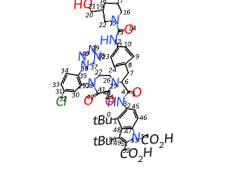 CC(C)(C)c1c(NC(=O)C(Cc2ccc(NC(=O)N3CCCC(CO)C3)cc2)N2CCN(c3cc(Cl)ccc3-n3cnnn3)C(=O)C2=O)ccc2c1c(C(C)(C)C)c(C(=O)O)n2C(=O)O